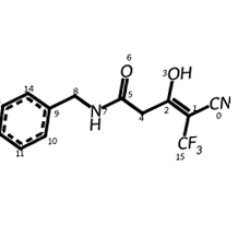 N#CC(=C(O)CC(=O)NCc1ccccc1)C(F)(F)F